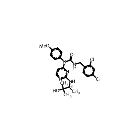 COc1ccc(N(C(=O)NCc2ccc(Cl)cc2Cl)c2ccnc(N[C@@H](C)C(C)(C)O)n2)cc1